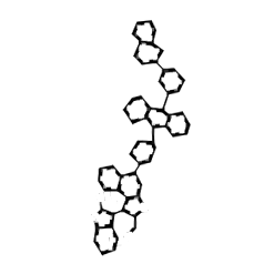 C=Cc1sc2cc(-c3ccc(-c4c5ccccc5c(-c5cccc(-c6ccc7ccccc7c6)c5)c5ccccc45)cc3)c3ccccc3c2c1-c1c(C)sc2ccccc12